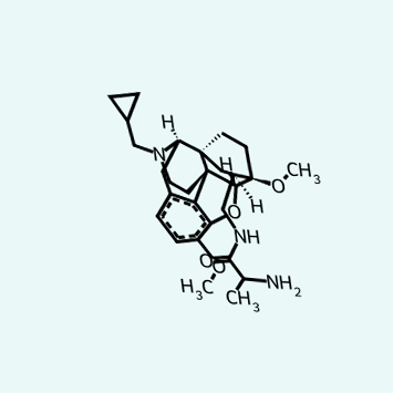 COc1ccc2c3c1O[C@H]1[C@@]4(OC)CC[C@@]5(C[C@@H]4CNC(=O)C(C)N)[C@@H](C2)N(CC2CC2)CC[C@]315